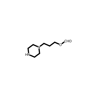 O=COCCCN1CCNCC1